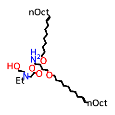 CCCCCCCCC=CCCCCCCCCOCC(OCCN(CC)CCO)C(OCCCCCCCCC=CCCCCCCCC)C(N)=O